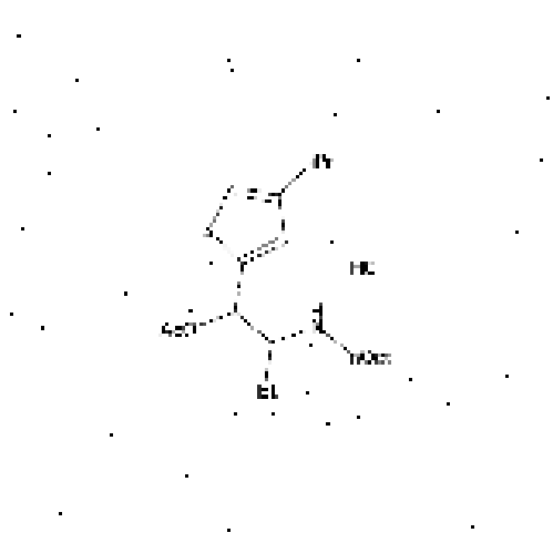 CCCCCCCCNC(CC)C(OC(C)=O)c1cc(C(C)C)cs1.Cl